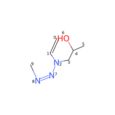 C=CN(CC(C)O)/N=N\C